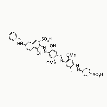 COc1cc(N=Nc2ccc(S(=O)(=O)O)cc2)c(C)cc1N=Nc1cc(O)c(N=Nc2c(S(=O)(=O)O)cc3cc(NCc4ccccc4)ccc3c2O)cc1OC